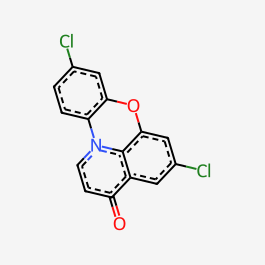 O=c1ccn2c3c(cc(Cl)cc13)Oc1cc(Cl)ccc1-2